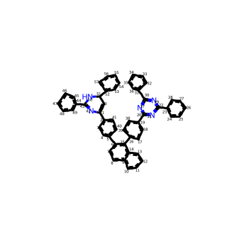 C1=C(c2ccc(-c3ccc4ccccc4c3-c3ccc(-c4nc(-c5ccccc5)nc(-c5ccccc5)n4)cc3)cc2)N=C(c2ccccc2)NC1c1ccccc1